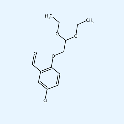 CCOC(COc1ccc(Cl)cc1C=O)OCC